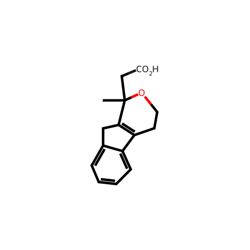 CC1(CC(=O)O)OCCC2=C1Cc1ccccc12